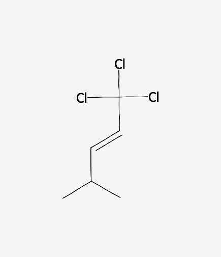 CC(C)/C=C/C(Cl)(Cl)Cl